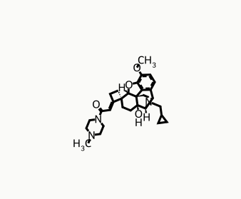 COc1ccc2c3c1O[C@H]1[C@@]4(CC/C4=C\C(=O)N4CCN(C)CC4)CC[C@@]4(O)[C@@H](C2)N(CC2CC2)CC[C@]314